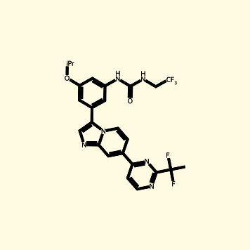 CC(C)Oc1cc(NC(=O)NCC(F)(F)F)cc(-c2cnc3cc(-c4ccnc(C(C)(F)F)n4)ccn23)c1